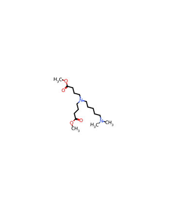 COC(=O)CCCN(CCCCCN(C)C)CCCC(=O)OC